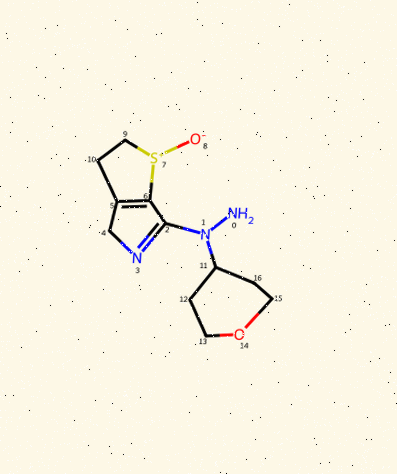 NN(C1=NCC2=C1[S+]([O-])CC2)C1CCOCC1